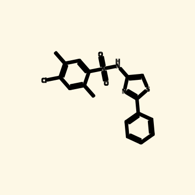 Cc1cc(S(=O)(=O)Nc2csc(-c3ccccc3)n2)c(C)cc1Cl